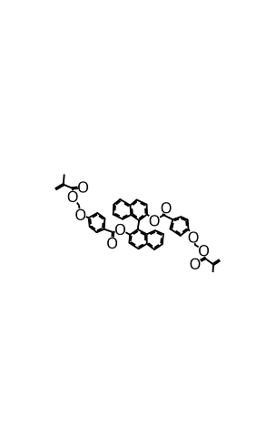 C=C(C)C(=O)OCOc1ccc(C(=O)Oc2ccc3ccccc3c2-c2c(OC(=O)c3ccc(OCOC(=O)C(=C)C)cc3)ccc3ccccc23)cc1